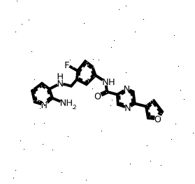 Nc1ncccc1NCc1cc(NC(=O)c2cnc(-c3ccoc3)cn2)ccc1F